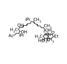 CC[C@H]1C[C@H](C)[C@@]2(NC1=O)O[C@@H](C[C@H](O)[C@@H](C)CC/C=C/C=C(\C)[C@H](C/C=C/C=C/[C@H](O)[C@H](C)[C@@H](O)[C@@H](CCC(C)=O)C(C)C)C(C)C)[C@H](C)[C@H](O)[C@@H]2C